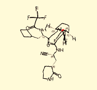 N#C[C@@H](C[C@H]1CCCNC1=O)NC(=O)[C@H]1[C@@H]2CC[C@@H](CC2(F)F)N1C(=O)[C@H](CC1CCC1)NC(=O)C(F)(F)F